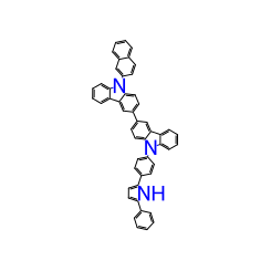 c1ccc(-c2ccc(-c3ccc(-n4c5ccccc5c5cc(-c6ccc7c(c6)c6ccccc6n7-c6ccc7ccccc7c6)ccc54)cc3)[nH]2)cc1